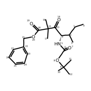 CCC(C)[C@H](NC(=O)OC(C)(C)C)C(=O)C(C)(C)C(=O)OCc1ccccc1